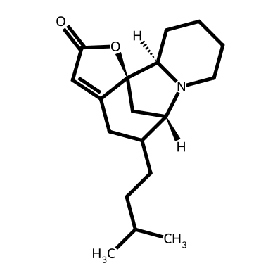 CC(C)CCC1CC2=CC(=O)O[C@@]23C[C@@H]1N1CCCC[C@@H]13